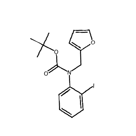 CC(C)(C)OC(=O)N(Cc1ccco1)c1ccccc1I